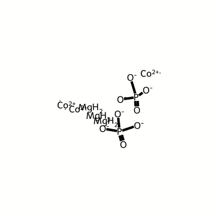 O=P([O-])([O-])[O-].O=P([O-])([O-])[O-].[Co+2].[Co+2].[Co+2].[MgH2].[MgH2].[MgH2]